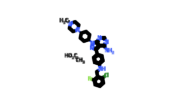 CC(=O)O.CN1CCN([C@H]2CC[C@@H](n3nc(-c4ccc(NCc5c(F)cccc5Cl)cc4)c4c(N)ncnc43)CC2)CC1